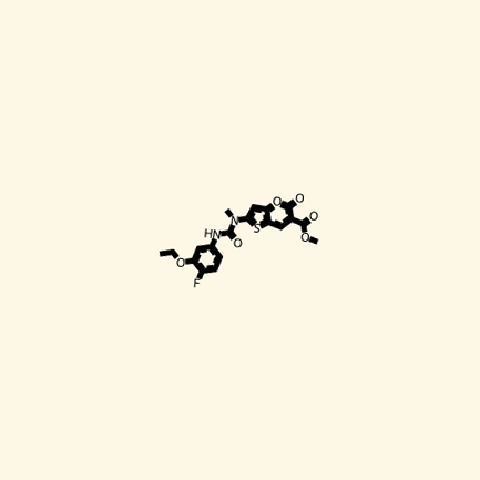 CCOc1cc(NC(=O)N(C)c2cc3oc(=O)c(C(=O)OC)cc3s2)ccc1F